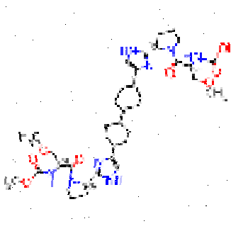 COC[C@H](NC(=O)O)C(=O)N1CCC[C@H]1c1nc(C2CCC(C3CCC(c4c[nH]c([C@@H]5CCCN5C(=O)[C@H](COC)NC(=O)OC)n4)CC3)CC2)c[nH]1